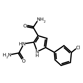 NC(=O)Nc1[nH]c(-c2cccc(Cl)c2)cc1C(N)=O